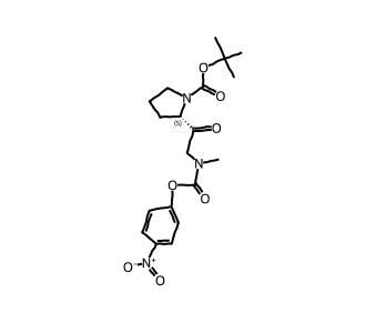 CN(CC(=O)[C@@H]1CCCN1C(=O)OC(C)(C)C)C(=O)Oc1ccc([N+](=O)[O-])cc1